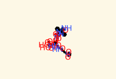 COC1C(N(C)C(=O)OCc2ccc(OC3OC(C(=O)O)C(O)[C@@H](O)C3O)c(NC(=O)CCNC(=O)CCCCCN3C(=O)C=CC3=O)c2)CC2OC1(C)n1c3ccccc3c3c4c(c5c6ccccc6n2c5c31)C(=O)NC4